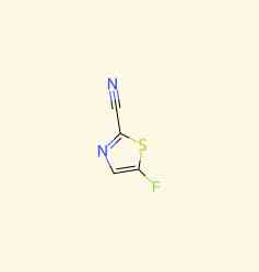 N#Cc1ncc(F)s1